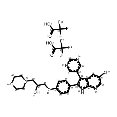 O=C(O)C(F)(F)F.O=C(O)C(F)(F)F.OC(COc1ccc(-c2[nH]c3ncc(Cl)cc3c2-c2cncnc2)cc1)CN1CCOCC1